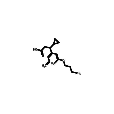 C=C/C=C(\C=C(/C)OCCCC)C(CC(=O)O)C1CC1